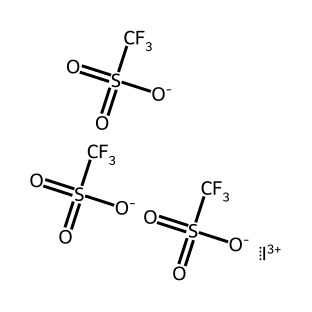 O=S(=O)([O-])C(F)(F)F.O=S(=O)([O-])C(F)(F)F.O=S(=O)([O-])C(F)(F)F.[I+3]